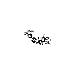 CNC(=O)c1ccc(N2CCN(Cc3cnc4c(C)c(C(F)(F)F)c(=O)[nH]c4c3)CC2)cn1